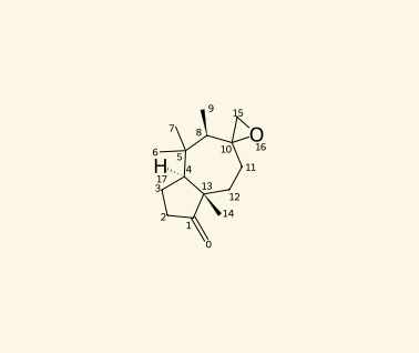 C=C1CC[C@H]2C(C)(C)[C@@H](C)C3(CC[C@]12C)CO3